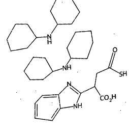 C1CCC(NC2CCCCC2)CC1.C1CCC(NC2CCCCC2)CC1.O=C(S)CC(C(=O)O)c1nc2ccccc2[nH]1